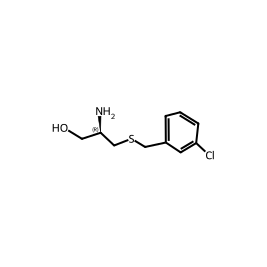 N[C@H](CO)CSCc1cccc(Cl)c1